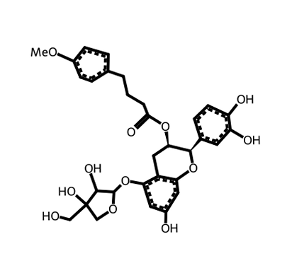 COc1ccc(CCCC(=O)O[C@@H]2Cc3c(OC4OCC(O)(CO)C4O)cc(O)cc3O[C@@H]2c2ccc(O)c(O)c2)cc1